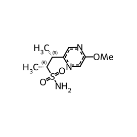 COc1cnc([C@@H](C)[C@@H](C)S(N)(=O)=O)cn1